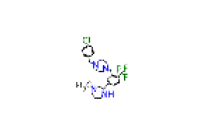 CN1CCCNC(c2ccc(C(F)(F)F)c(CN3CCN(Cc4ccc(Cl)cc4)CC3)c2)C1